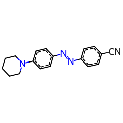 N#Cc1ccc(N=Nc2ccc(N3CCCCC3)cc2)cc1